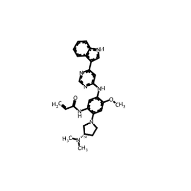 C=CC(=O)Nc1cc(Nc2cc(-c3c[nH]c4ccccc34)ncn2)c(OC)cc1N1CC[C@H](N(C)C)C1